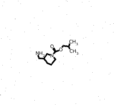 CC(C)COC(=O)N1CCCC(CN)C1